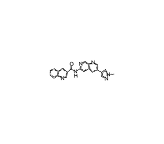 Cn1cc(-c2cnc3cnc(NC(=O)c4cnc5ccccc5c4)cc3c2)cn1